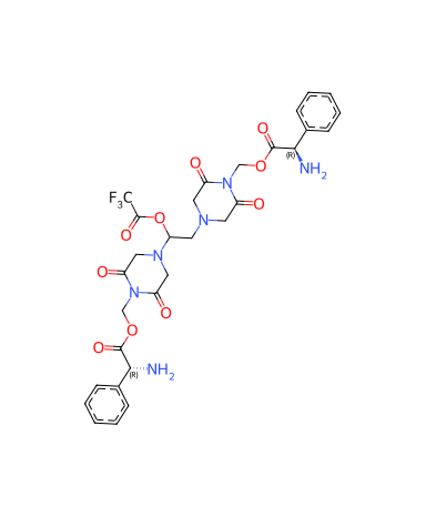 N[C@@H](C(=O)OCN1C(=O)CN(CC(OC(=O)C(F)(F)F)N2CC(=O)N(COC(=O)[C@H](N)c3ccccc3)C(=O)C2)CC1=O)c1ccccc1